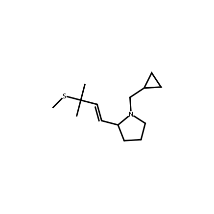 CSC(C)(C)/C=C/C1CCCN1CC1CC1